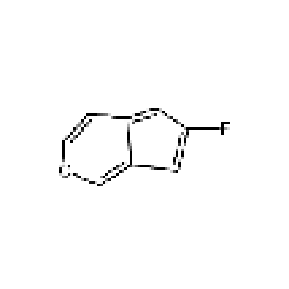 Fc1[c]c2ccocc-2c1